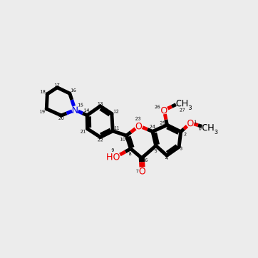 COc1ccc2c(=O)c(O)c(-c3ccc(N4CCCCC4)cc3)oc2c1OC